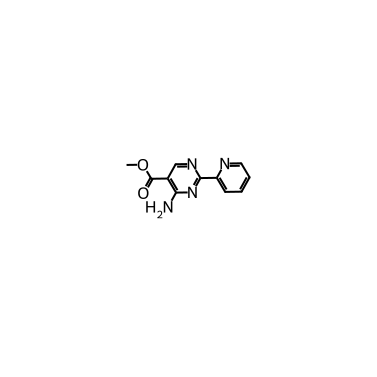 COC(=O)c1cnc(-c2ccccn2)nc1N